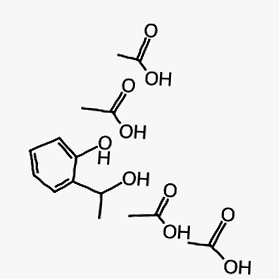 CC(=O)O.CC(=O)O.CC(=O)O.CC(=O)O.CC(O)c1ccccc1O